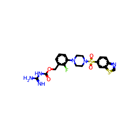 N=C(N)NC(=O)OCc1cccc(N2CCN(S(=O)(=O)c3ccc4ncsc4c3)CC2)c1F